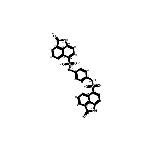 O=C1Nc2ccc(S(=O)(=O)Nc3ccc(NS(=O)(=O)c4ccc5c6c(cccc46)C(=O)N5)cc3)c3cccc1c23